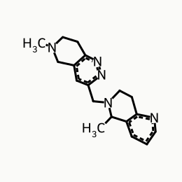 CC1c2cccnc2CCN1Cc1cc2c(nn1)CCN(C)C2